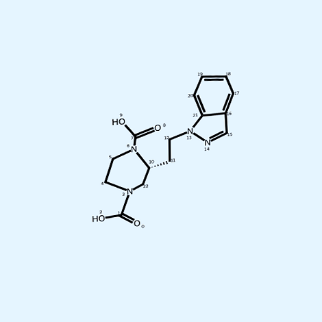 O=C(O)N1CCN(C(=O)O)[C@H](CCn2ncc3ccccc32)C1